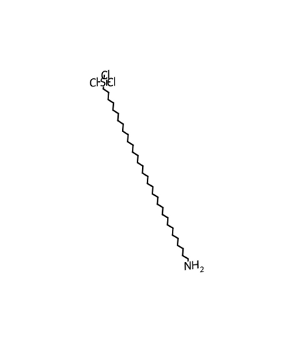 NCCCCCCCCCCCCCCCCCCCCCCCCCCCCCCCCCC[Si](Cl)(Cl)Cl